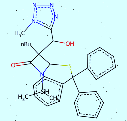 CCCCC1(C(O)c2nnnn2C)C(=O)N([SiH](C)C)C1SC(c1ccccc1)(c1ccccc1)c1ccccc1